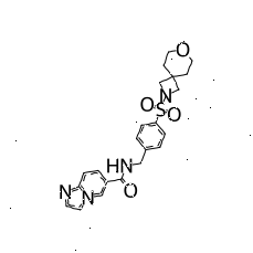 O=C(NCc1ccc(S(=O)(=O)N2CC3(CCOCC3)C2)cc1)c1ccc2nccn2c1